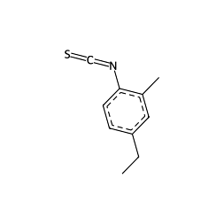 CCc1ccc(N=C=S)c(C)c1